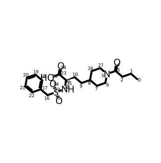 CCCC(=O)N1CCC(CC[C@@H](NS(=O)(=O)Cc2ccccc2)C(=O)O)CC1